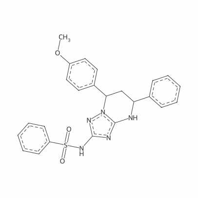 COc1ccc(C2CC(c3ccccc3)Nc3nc(NS(=O)(=O)c4ccccc4)nn32)cc1